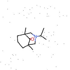 CC(C)N1CC2(C)CCCC(C)(C1)C2=O